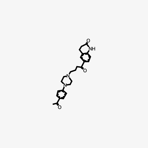 CC(=O)c1ccc(N2CCN(CCCC(=O)c3ccc4c(c3)CCC(=O)N4)CC2)cc1